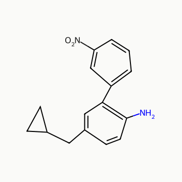 Nc1ccc(CC2CC2)cc1-c1cccc([N+](=O)[O-])c1